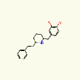 Oc1ccc(CC2CCCC(CCc3ccccc3)N2)cc1O